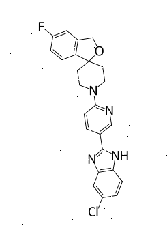 Fc1ccc2c(c1)COC21CCN(c2ccc(-c3nc4cc(Cl)ccc4[nH]3)cn2)CC1